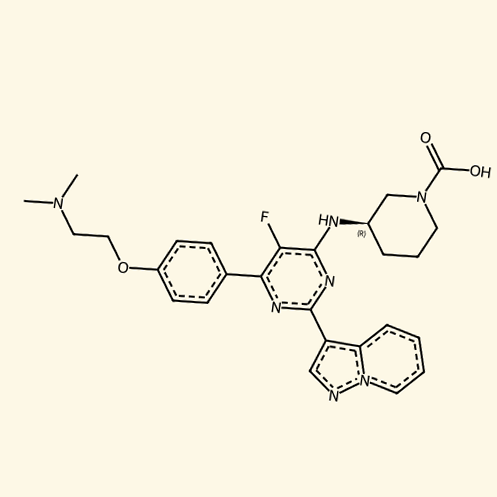 CN(C)CCOc1ccc(-c2nc(-c3cnn4ccccc34)nc(N[C@@H]3CCCN(C(=O)O)C3)c2F)cc1